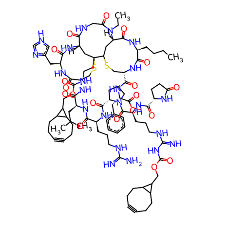 CCCC[C@@H]1NC(=O)[C@@H]2CC(SC[C@@H](C(=O)N[C@@H](Cc3ccccc3)C(=O)O)NC1=O)C1(CCNC(=O)OCC3C4CCC#CCCC43)C[C@H](NC(=O)[C@H](Cc3c[nH]cn3)NC(=O)[C@@H](NC(=O)[C@H](CC(C)C)NC(=O)[C@H](CCCNC(=N)N)NC(=O)[C@@H]3CCCN3C(=O)[C@H](CCCNC(=N)NC(=O)OCC3C4CCC#CCCC43)NC(=O)[C@@H]3CCC(=O)N3)CS1)C(=O)NCC(=O)N2CC